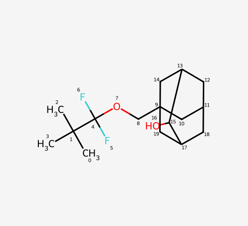 CC(C)(C)C(F)(F)OCC12CC3CC(C1)C(O)C(C3)C2